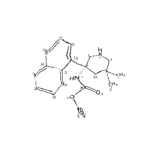 CC1(C)CNC[C@](NC(=O)OC(C)(C)C)(c2ccnc3nccnc23)C1